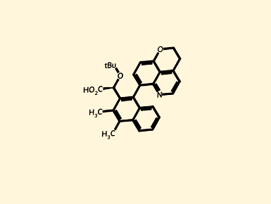 Cc1c([C@H](OC(C)(C)C)C(=O)O)c(-c2ccc3c4c(ccnc24)CCO3)c2ccccc2c1C